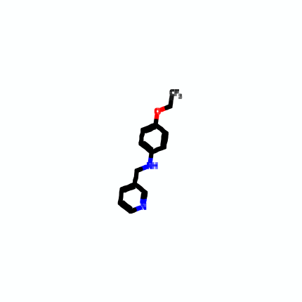 FC(F)(F)COc1ccc(NCc2cccnc2)cc1